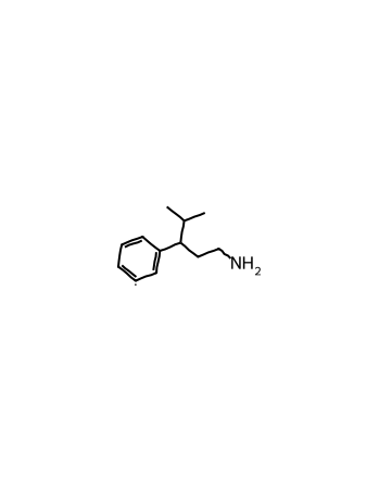 CC(C)C(CCN)c1c[c]ccc1